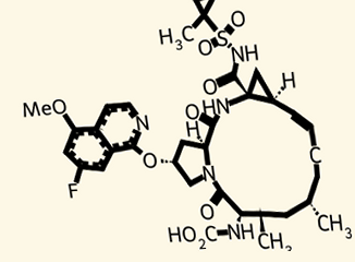 COc1cc(F)cc2c(O[C@@H]3C[C@H]4C(=O)N[C@]5(C(=O)NS(=O)(=O)C6(C)CC6)C[C@H]5C=CCC[C@H](C)C[C@@H](C)[C@H](NC(=O)O)C(=O)N4C3)nccc12